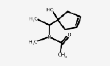 CC(=O)N(C)C(C)C1(O)CC=CC1